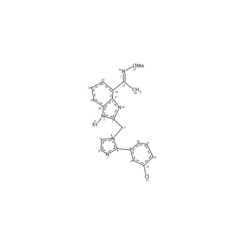 CCn1c(Cn2ccnc2-c2cccc(Cl)c2)nc2c(/C(C)=N/OC)cccc21